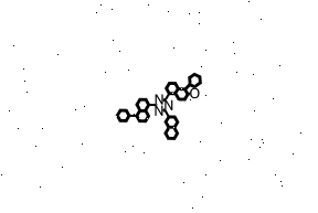 c1ccc(-c2cccc3c(-c4nc(-c5ccc6ccccc6c5)nc(-c5cccc6c5ccc5oc7ccccc7c56)n4)cccc23)cc1